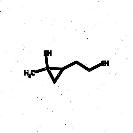 CC1(S)CC1CCS